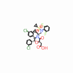 O=C(O)C[C@H]1O[C@H](c2cccc(Cl)c2)[C@@H](c2ccc(Cl)cc2)N([C@H](CN(c2c(F)cccc2F)S(=O)(=O)C2CC2)C2CC2)C1=O